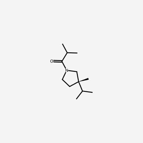 CC(C)C(=O)N1CC[C@@](C)(C(C)C)C1